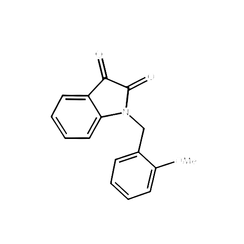 COc1ccccc1CN1C(=O)C(=O)c2ccccc21